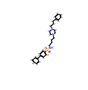 O=S(=O)(NCCCCN1CCN(CCCc2ccccc2)CC1)c1ccc(-c2ccccc2)cc1